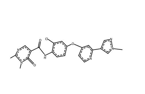 Cc1ncc(C(=O)Nc2ccc(Oc3ccnc(-c4cnn(C)c4)c3)cc2Cl)c(=O)n1C